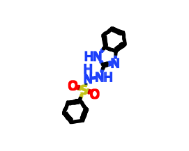 O=S(=O)(NNc1nc2ccccc2[nH]1)c1ccccc1